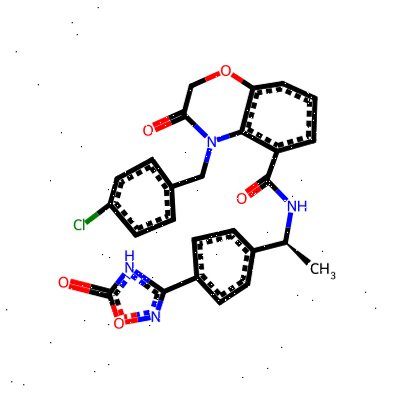 C[C@H](NC(=O)c1cccc2c1N(Cc1ccc(Cl)cc1)C(=O)CO2)c1ccc(-c2noc(=O)[nH]2)cc1